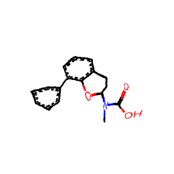 CN(C(=O)O)C1Cc2cccc(-c3ccccc3)c2O1